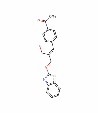 COC(=O)c1ccc(C=C(CBr)COc2nc3ccccc3s2)cc1